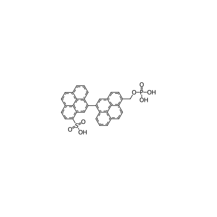 O=P(O)(O)OCc1ccc2cc(-c3cc4c(S(=O)(=O)O)ccc5ccc6cccc3c6c54)c3cccc4ccc1c2c43